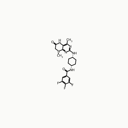 Cc1nc(N[C@H]2CC[C@@H](NC(=O)c3cc(F)c(F)c(F)c3)CC2)nc2c1NC(=O)CN2C